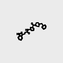 O=C(C=Cc1n[nH]c2ccccc12)Nc1cccc(C(=O)N2CCN(Cc3ccccc3)CC2)c1